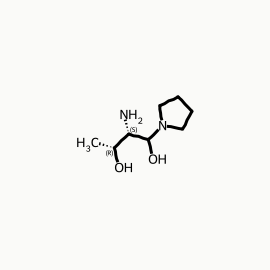 C[C@@H](O)[C@H](N)C(O)N1CCCC1